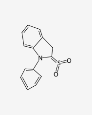 O=S(=O)=C1Cc2ccccc2N1c1ccccc1